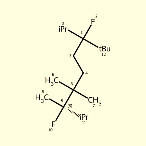 CC(C)C(F)(CCC(C)(C)[C@](C)(F)C(C)C)C(C)(C)C